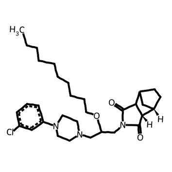 CCCCCCCCCCOC(CN1CCN(c2cccc(Cl)c2)CC1)CN1C(=O)C2C3CC[C@@H](C3)[C@@H]2C1=O